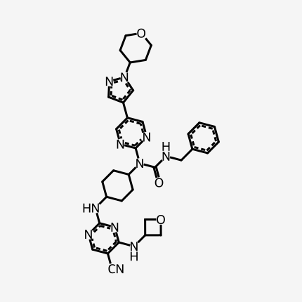 N#Cc1cnc(NC2CCC(N(C(=O)NCc3ccccc3)c3ncc(-c4cnn(C5CCOCC5)c4)cn3)CC2)nc1NC1COC1